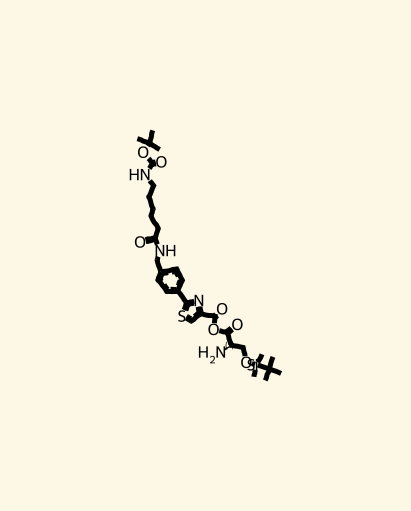 CC(C)(C)OC(=O)NCCCCCC(=O)NCc1ccc(-c2nc(C(=O)OC(=O)[C@@H](N)CO[Si](C)(C)C(C)(C)C)cs2)cc1